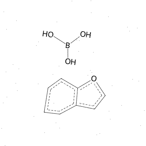 OB(O)O.c1ccc2occc2c1